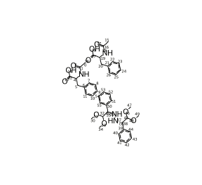 CC(=O)NC(Cc1ccccc1)C(=O)O.CC(=O)NC(Cc1ccccc1)C(=O)O.COC(OC)[C@H](NN[C@@H](c1ccccc1)C(OC)OC)c1ccccc1